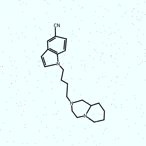 N#Cc1ccc2c(ccn2CCCCN2CCN3CCCCC3C2)c1